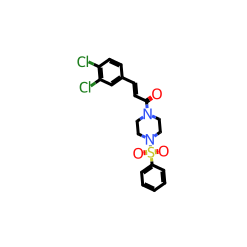 O=C(/C=C/c1ccc(Cl)c(Cl)c1)N1CCN(S(=O)(=O)c2ccccc2)CC1